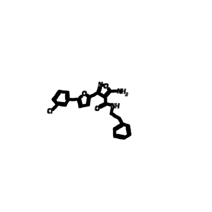 Nc1onc(-c2ccc(-c3cccc(Cl)c3)o2)c1C(=O)NCCc1ccccc1